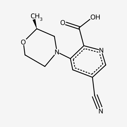 C[C@H]1CN(c2cc(C#N)cnc2C(=O)O)CCO1